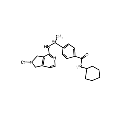 CCN1Cc2ccnc(N[C@@H](C)c3ccc(C(=O)NC4CCCCC4)cc3)c2C1